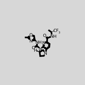 Cc1nc(NC(=O)N2c3nc(C(=O)N[C@H](C)C(F)(F)F)ccc3N3CC[C@H]2C3)co1